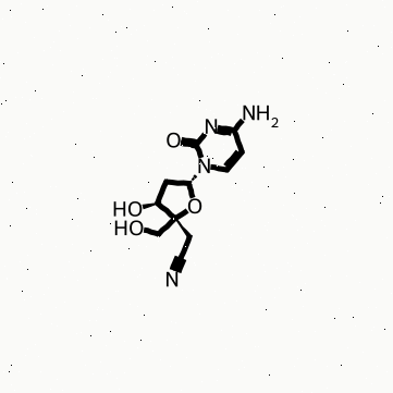 N#CC[C@]1(CO)O[C@@H](n2ccc(N)nc2=O)C[C@@H]1O